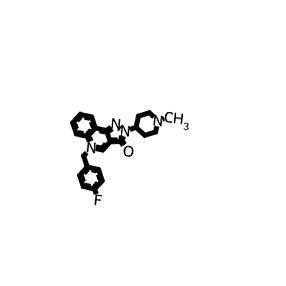 CN1CCC(n2nc3c4ccccc4n(Cc4ccc(F)cc4)cc-3c2=O)CC1